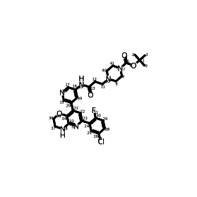 CC(C)(C)OC(=O)N1CCN(CCC(=O)Nc2cncc(-c3cc(-c4cc(Cl)ccc4F)nc4c3OCCN4)c2)CC1